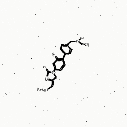 CC(=O)NCC1CN(c2ccc(-c3ccc(CN(CC#N)C(C)=O)cc3)c(F)c2)C(=O)O1